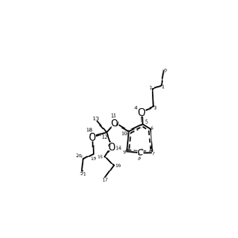 CCCCOc1ccccc1OC(C)(OCCC)OCCC